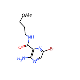 COCCCNC(=O)c1nc(Br)cnc1N